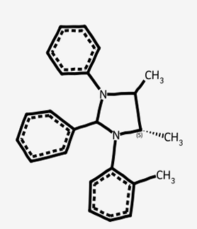 Cc1ccccc1N1C(c2ccccc2)N(c2ccccc2)C(C)[C@@H]1C